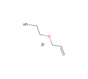 [CH2]CCCCOCC=C.[Zr]